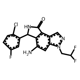 Nc1cc2c(cnn2CC(F)F)c2c1C(c1cc(F)ccc1Cl)NC2=O